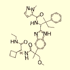 CCNC(=O)[C@H](NC(=O)C(C)(COC)c1ccc2[nH]c(C(NC(=O)c3ccnn3C)C(C)(CC)c3ccccc3)nc2c1)C1CCC1